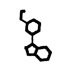 [CH]=Cc1cccc(-c2occ3ccccc23)c1